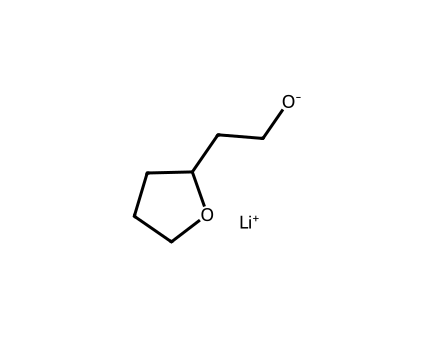 [Li+].[O-]CCC1CCCO1